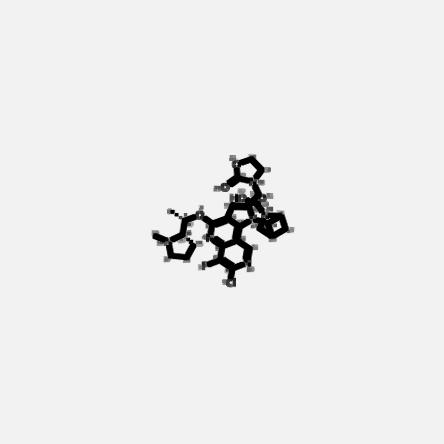 C[C@H](Oc1nc2c(F)c(Cl)ncc2c2c1cc(CN1CCOC1=O)n2C1C2CC1N(C(=O)O)C2)[C@@H]1CCCN1C